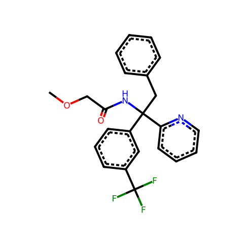 COCC(=O)NC(Cc1ccccc1)(c1cccc(C(F)(F)F)c1)c1ccccn1